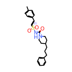 Cc1ccc(/C=C/S(=O)(=O)NC(=O)N2CCC(CCCc3ccccc3)CC2)cc1